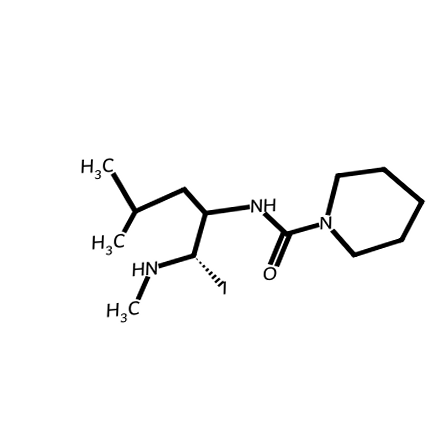 CN[C@@H](I)C(CC(C)C)NC(=O)N1CCCCC1